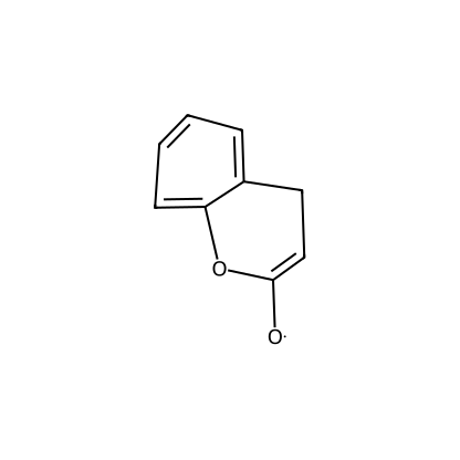 [O]C1=CCc2ccccc2O1